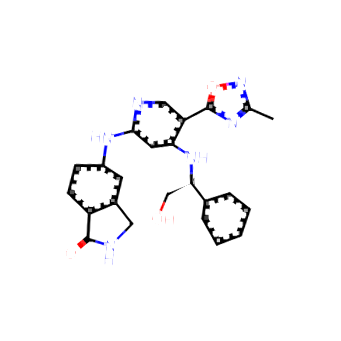 Cc1noc(-c2cnc(Nc3ccc4c(c3)CNC4=O)cc2N[C@H](CO)c2ccccc2)n1